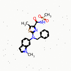 Cc1sc(N(Cc2ccccc2)c2ccc3ccn(C)c3c2)nc1C(=O)NS(C)(=O)=O